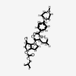 CC(C)COC(=O)ON1CC(=O)C2C1CCN2C(=O)C(CC(C)C)NC(=O)c1ccc(N2CCN(C)CC2)cc1